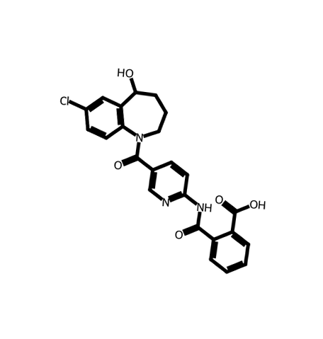 O=C(O)c1ccccc1C(=O)Nc1ccc(C(=O)N2CCCC(O)c3cc(Cl)ccc32)cn1